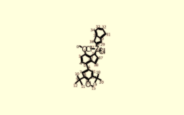 COc1ccc(-c2cc(C(C)(C)C)c(OC)c(C(C)(C)C)c2)c2c1[CH]([Zr]([Cl])([Cl])[C]1=Cc3ccccc3C1)C=C2